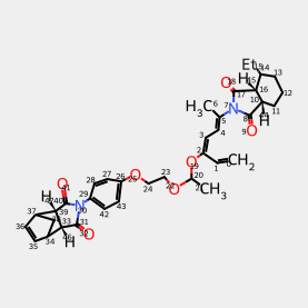 C=C/C(=C\C=C(/C)N1C(=O)[C@H]2CCCC(CC)[C@H]2C1=O)OC(C)OCCOc1ccc(N2C(=O)[C@@H]3C4C=CC(C4)[C@@H]3C2=O)cc1